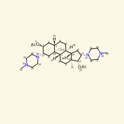 CC(=O)O[C@H]1C[C@@H]2CC[C@@H]3[C@H](CC[C@@]4(C)[C@H]3C[C@H](N3CCN(C)CC3)[C@@H]4OC(C)=O)[C@@]2(C)C[C@@H]1N1CCN(C)CC1